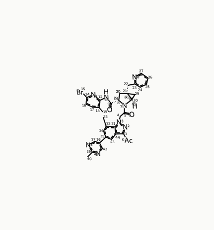 CC(=O)c1nn(CC(=O)N2[C@H](C(=O)Nc3nc(Br)ccc3C)C[C@@]3(Cc4ccccn4)C[C@@H]23)c2c(C)cc(-c3cnc(C)nc3)cc12